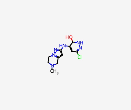 CN1CCn2nc(NC3=CC(Cl)=NNC3O)cc2C1